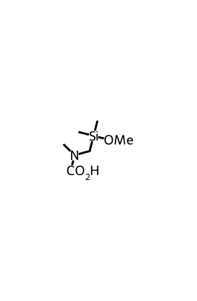 CO[Si](C)(C)CN(C)C(=O)O